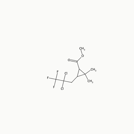 COC(=O)C1C(CC(Cl)(Cl)C(F)(F)F)C1(C)C